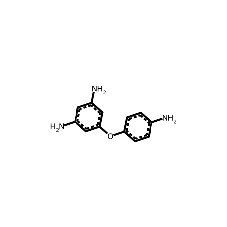 Nc1ccc(Oc2cc(N)cc(N)c2)cc1